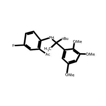 CCCCC(C)(Pc1ccc(F)cc1C(C)=O)c1cc(OC)cc(OC)c1OC